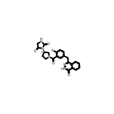 O=C(c1cc(Cc2n[nH]c(=O)c3ccccc23)ccc1F)N1CC[C@@H](N2C(=O)CNC2=O)C1